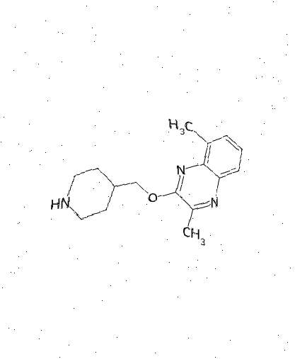 Cc1nc2cccc(C)c2nc1OCC1CCNCC1